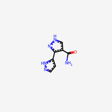 NC(=O)c1c[nH]nc1-c1ccn[nH]1